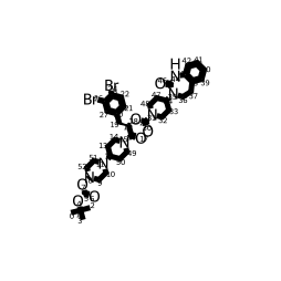 CC(C)(C)OC(=O)ON1CCN(C2CCN(C(=O)[C@@H](Cc3ccc(Br)c(Br)c3)OC(=O)N3CCC(N4CCc5ccccc5NC4=O)CC3)CC2)CC1